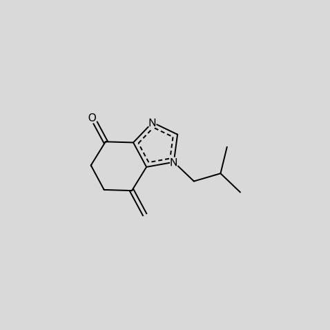 C=C1CCC(=O)c2ncn(CC(C)C)c21